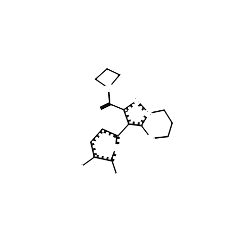 O=C(c1nn2c(c1-c1ccc(Cl)c(Cl)c1)OCCC2)N1CCC1